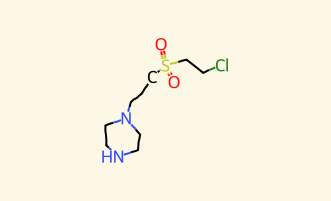 O=S(=O)(CCCl)CCCN1CCNCC1